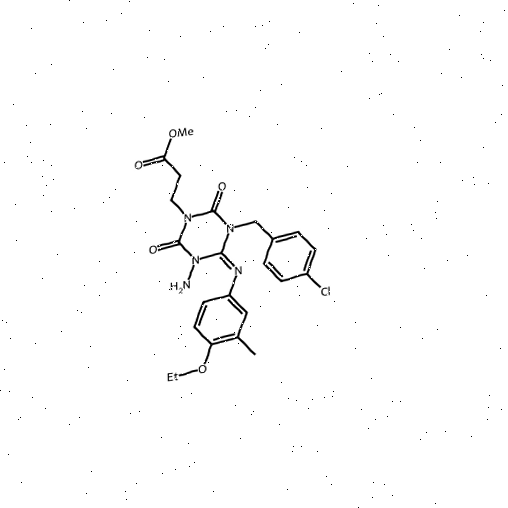 CCOc1ccc(/N=c2\n(N)c(=O)n(CCC(=O)OC)c(=O)n2Cc2ccc(Cl)cc2)cc1C